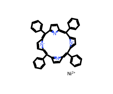 C1=Cc2nc1c(-c1ccccc1)c1ccc([n-]1)c(-c1ccccc1)c1nc(c(-c3ccccc3)c3ccc([n-]3)c2-c2ccccc2)C=C1.[Ni+2]